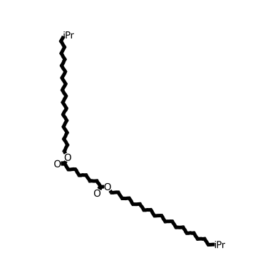 CC(C)CCCCCCCCCCCCCCCCCCCOC(=O)CCCCCCC(=O)OCCCCCCCCCCCCCCCCCCCC(C)C